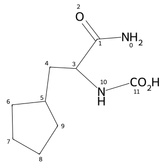 NC(=O)C(CC1CCCC1)NC(=O)O